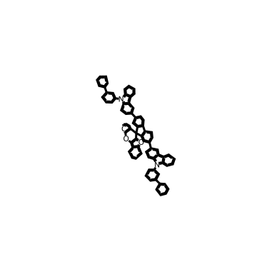 c1ccc(-c2cccc(-n3c4ccccc4c4cc(-c5ccc6c(c5)C5(c7ccccc7Oc7c5oc5ccccc75)c5cc(-c7ccc8c(c7)c7ccccc7n8-c7cccc(-c8ccccc8)c7)ccc5-6)ccc43)c2)cc1